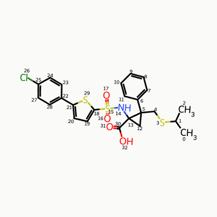 CC(C)SCC1(c2ccccc2)CC1(NS(=O)(=O)c1ccc(-c2ccc(Cl)cc2)s1)C(=O)O